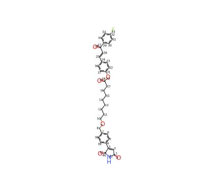 O=C1C=C(c2ccc(COCCCCCCCCC(=O)Oc3ccc(C=CC(=O)c4ccc(F)cc4)cc3)cc2)C(=O)N1